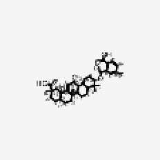 CC1(C)C2CC[C@]3(C)C(C(=O)C=C4[C@@H]5C[C@@](C)(C(=O)O)CC[C@]5(C)CCC43C)[C@@]2(C)CC[C@@H]1OC(=O)c1cc(F)ccc1C(=O)O